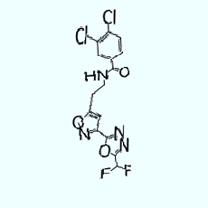 O=C(NCCc1cc(-c2nnc(C(F)F)o2)no1)c1ccc(Cl)c(Cl)c1